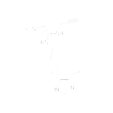 C#CCN/C(=C/[N+](=O)[O-])NCCSCc1[nH]cnc1CO